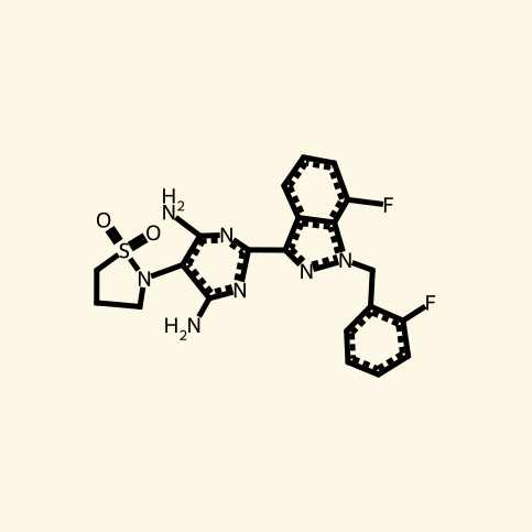 Nc1nc(-c2nn(Cc3ccccc3F)c3c(F)cccc23)nc(N)c1N1CCCS1(=O)=O